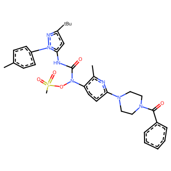 Cc1ccc(-n2nc(C(C)(C)C)cc2NC(=O)N(OS(C)(=O)=O)c2ccc(N3CCN(C(=O)c4ccccc4)CC3)nc2C)cc1